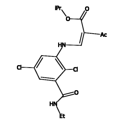 CCNC(=O)c1cc(Cl)cc(NC=C(C(C)=O)C(=O)OC(C)C)c1Cl